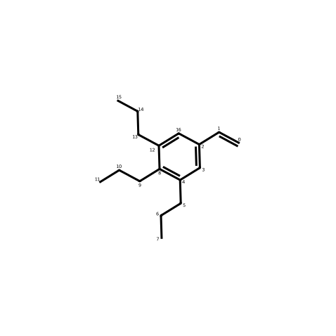 C=Cc1cc(CCC)c(CCC)c(CCC)c1